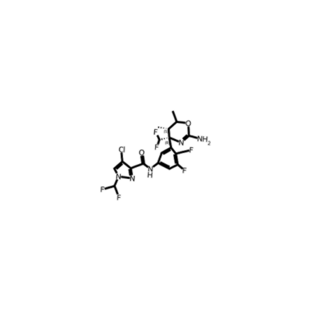 CC1OC(N)=N[C@](c2cc(NC(=O)c3nn(C(F)F)cc3Cl)cc(F)c2F)(C(F)F)[C@@H]1C